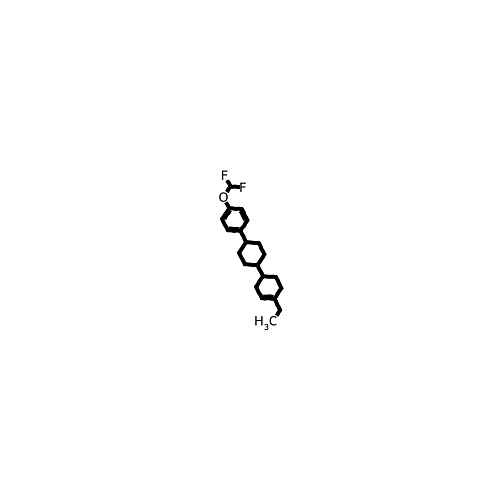 CCC1=CCC(C2CCC(c3ccc(OC(F)F)cc3)CC2)CC1